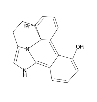 CC(C)C1=CC=CC2=c3c(O)cccc3=C3NC=C4CCCC12N43